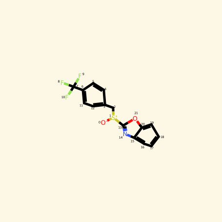 [O-][S+](Cc1ccc(C(F)(F)F)cc1)c1nc2ccccc2o1